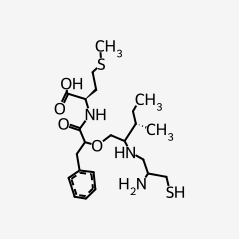 CC[C@H](C)C(COC(Cc1ccccc1)C(=O)N[C@H](CCSC)C(=O)O)NCC(N)CS